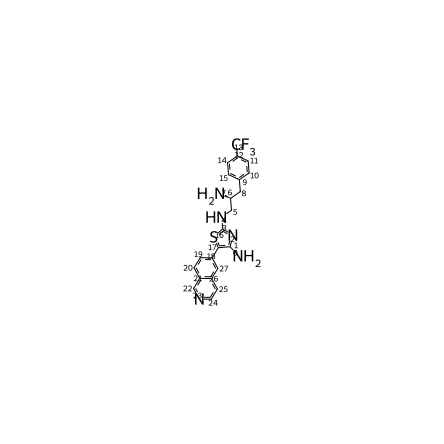 Nc1nc(NC[C@@H](N)Cc2ccc(C(F)(F)F)cc2)sc1-c1ccc2cnccc2c1